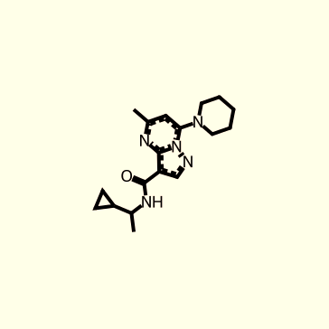 Cc1cc(N2CCCCC2)n2ncc(C(=O)NC(C)C3CC3)c2n1